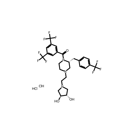 Cl.Cl.O=C(c1cc(C(F)(F)F)cc(C(F)(F)F)c1)N1CCN(CCN2C[C@H](O)[C@@H](O)C2)C[C@H]1Cc1ccc(C(F)(F)F)cc1